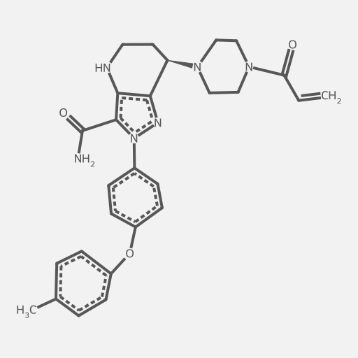 C=CC(=O)N1CCN([C@@H]2CCNc3c2nn(-c2ccc(Oc4ccc(C)cc4)cc2)c3C(N)=O)CC1